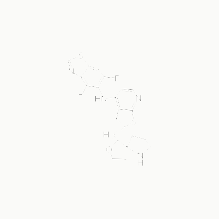 CC1([C@@H]2CCN[C@]23CCOC3)Cc2c(Nc3c(F)cc4scnc4c3F)ccnc2S1